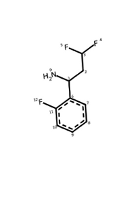 NC(CC(F)F)c1ccccc1F